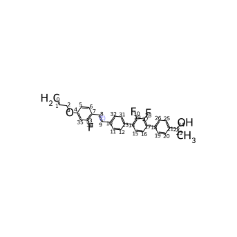 C=CCOc1ccc(/C=C/c2ccc(-c3ccc(-c4ccc(C(C)O)cc4)c(F)c3F)cc2)c(F)c1